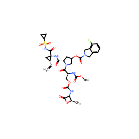 C=C[C@@H]1C[C@]1(NC(=O)[C@@H]1CC(OC(=O)N2Cc3cccc(F)c3C2)CN1C(=O)[C@H](COC(=O)N[C@@H]1C(=O)O[C@@H]1C)NC(=O)OC(C)(C)C)C(=O)NS(=O)(=O)C1CC1